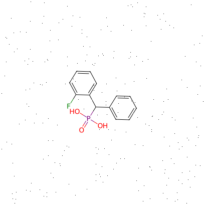 O=P(O)(O)C(c1ccccc1)c1ccccc1F